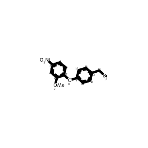 COc1cc([N+](=O)[O-])ccc1Oc1ccc(CBr)cc1